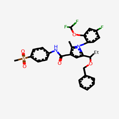 CCC(OCc1ccccc1)c1cc(C(=O)Nc2ccc(S(C)(=O)=O)cc2)c(C)n1-c1ccc(F)cc1OC(F)F